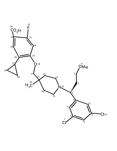 COCC[C@@H](c1cc(Cl)cc(Cl)c1)N1CCC(C)(COc2cc(F)c(C(=O)O)cc2C2CC2)CC1